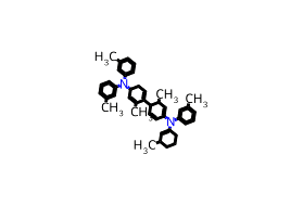 CC1=CC(N(c2cccc(C)c2)c2cccc(C)c2)CC=C1C1C=CC(N(C2=CC(C)CCC2)c2cccc(C)c2)=CC1C